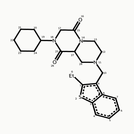 CCc1sc2ccccc2c1CN1CCN2C(=O)CN(C3CCCCC3)C(=O)C2C1